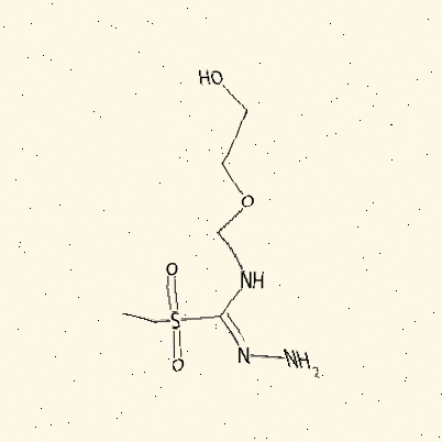 CS(=O)(=O)/C(=N/N)NCOCCO